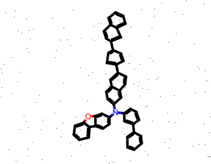 c1ccc(-c2cccc(N(c3ccc4cc(-c5ccc(-c6ccc7ccccc7c6)cc5)ccc4c3)c3ccc4c(c3)oc3ccccc34)c2)cc1